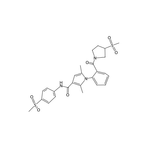 Cc1cc(C(=O)Nc2ccc(S(C)(=O)=O)cc2)c(C)n1-c1ccccc1C(=O)N1CCC(S(C)(=O)=O)C1